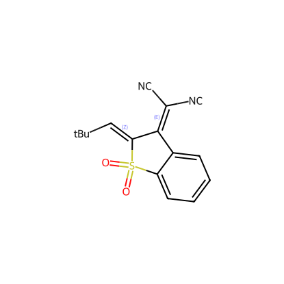 [C-]#[N+]/C(C#N)=C1/C(=C/C(C)(C)C)S(=O)(=O)c2ccccc21